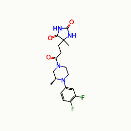 C[C@H]1CN(C(=O)CCC2(C)NC(=O)NC2=O)CCN1c1ccc(F)c(F)c1